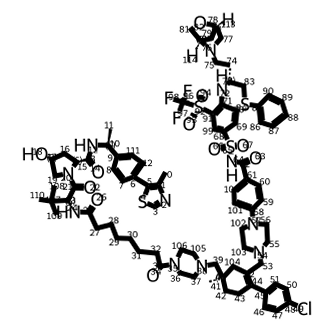 Cc1ncsc1-c1ccc([C@H](C)NC(=O)[C@@H]2C[C@@H](O)CN2C(=O)[C@@H](NC(=O)CCCCCCC(=O)N2CCN(C[C@]3(C)CCC(c4ccc(Cl)cc4)=C(CN4CCN(c5ccc(C(=O)NS(=O)(=O)c6ccc(N[C@H](CCN7C[C@H]8C[C@@H]7CO8)CSc7ccccc7)c(S(=O)(=O)C(F)(F)F)c6)cc5)CC4)C3)CC2)C(C)(C)C)cc1